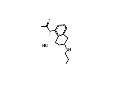 CCCNC1CCc2c(cccc2NC(C)=O)C1.Cl